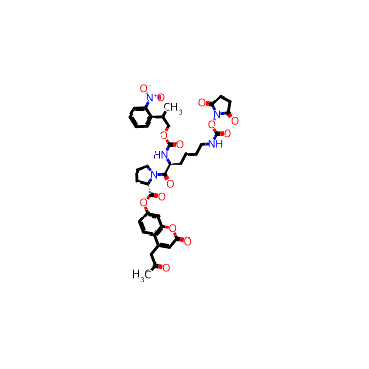 CC(=O)Cc1cc(=O)oc2cc(OC(=O)[C@@H]3CCCN3C(=O)[C@H](CCCCNC(=O)ON3C(=O)CCC3=O)NC(=O)OCC(C)c3ccccc3[N+](=O)[O-])ccc12